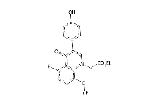 CCCOc1ccc(F)c2c(=O)c(-c3ccc(O)cc3)cn(CC(=O)OCC)c12